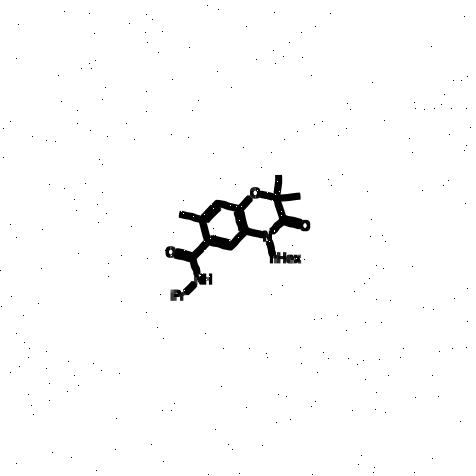 CCCCCCN1C(=O)C(C)(C)Oc2cc(C)c(C(=O)NC(C)C)cc21